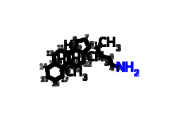 CC(CCCN)[C@H]1CC[C@H]2[C@@H]3CCC4CCCC[C@]4(C)[C@H]3CC[C@]12C